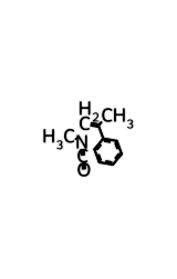 C=C(C)c1ccccc1.CN=C=O